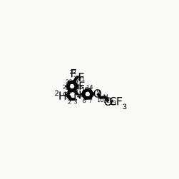 [2H]C1=CCN(c2ccc(OCCOC(F)(F)F)cc2F)c2cc(C(F)F)ccc21